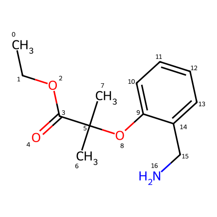 CCOC(=O)C(C)(C)Oc1ccccc1CN